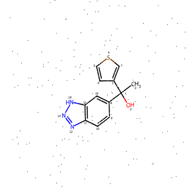 CC(O)(c1ccsc1)c1ccc2nn[nH]c2c1